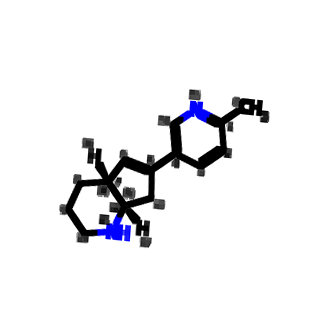 Cc1ccc(C2=C[C@H]3CCCN[C@H]3C2)cn1